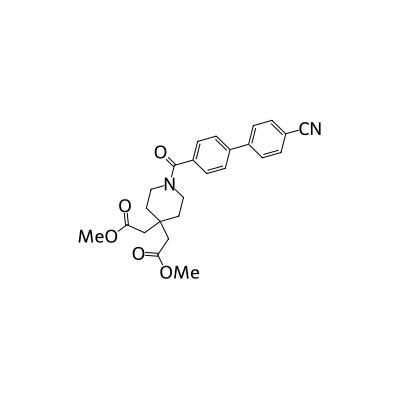 COC(=O)CC1(CC(=O)OC)CCN(C(=O)c2ccc(-c3ccc(C#N)cc3)cc2)CC1